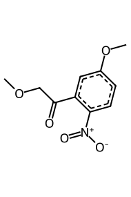 COCC(=O)c1cc(OC)ccc1[N+](=O)[O-]